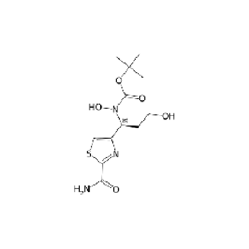 CC(C)(C)OC(=O)N(O)[C@@H](CCO)c1csc(C(N)=O)n1